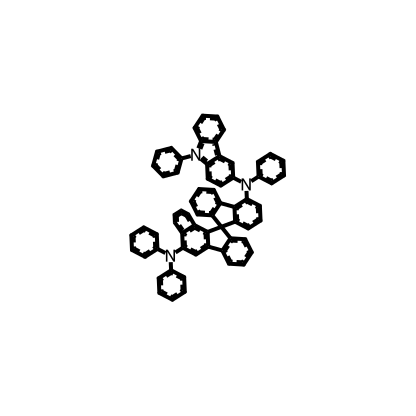 c1ccc(N(c2ccc3c(c2)c2ccccc2n3-c2ccccc2)c2cccc3c2-c2ccccc2C32c3ccccc3-c3cc(N(c4ccccc4)c4ccccc4)c4ccccc4c32)cc1